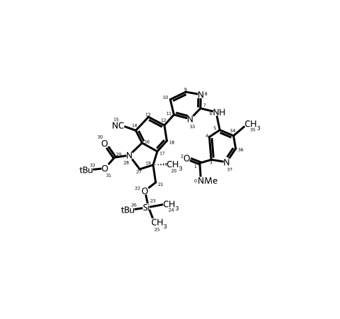 CNC(=O)c1cc(Nc2nccc(-c3cc(C#N)c4c(c3)[C@@](C)(CO[Si](C)(C)C(C)(C)C)CN4C(=O)OC(C)(C)C)n2)c(C)cn1